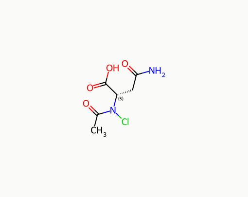 CC(=O)N(Cl)[C@@H](CC(N)=O)C(=O)O